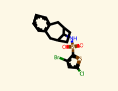 O=S(=O)(NC1C2CCC1Cc1ccccc1C2)c1sc(Cl)cc1Br